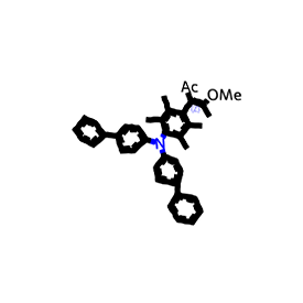 CO/C(C)=C(\C(C)=O)c1c(C)c(C)c(N(c2ccc(-c3ccccc3)cc2)c2ccc(-c3ccccc3)cc2)c(C)c1C